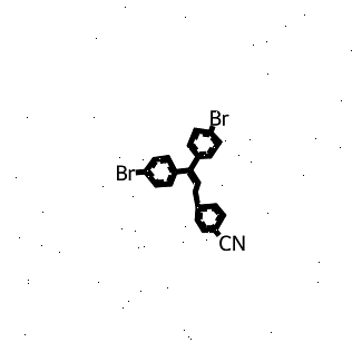 N#Cc1ccc(CC=C(c2ccc(Br)cc2)c2ccc(Br)cc2)cc1